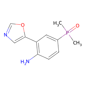 CP(C)(=O)c1ccc(N)c(-c2cnco2)c1